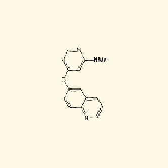 CNc1cc(Oc2ccc3ncccc3c2)ncn1